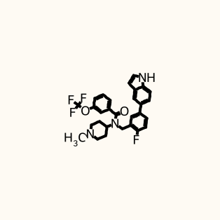 CN1CCC(N(Cc2cc(-c3ccc4[nH]ccc4c3)ccc2F)C(=O)c2cccc(OC(F)(F)F)c2)CC1